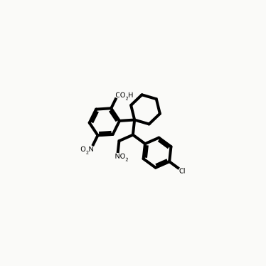 O=C(O)c1ccc([N+](=O)[O-])cc1C1(C(C[N+](=O)[O-])c2ccc(Cl)cc2)CCCCC1